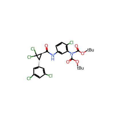 CC(C)(C)OC(=O)N(C(=O)OC(C)(C)C)c1cc(NC(=O)[C@H]2[C@H](c3cc(Cl)cc(Cl)c3)C2(Cl)Cl)ccc1Cl